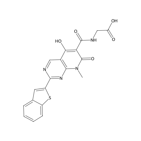 Cn1c(=O)c(C(=O)NCC(=O)O)c(O)c2cnc(-c3cc4ccccc4s3)nc21